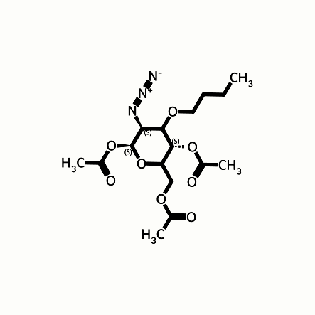 CCCCOC1[C@H](OC(C)=O)C(COC(C)=O)O[C@@H](OC(C)=O)[C@H]1N=[N+]=[N-]